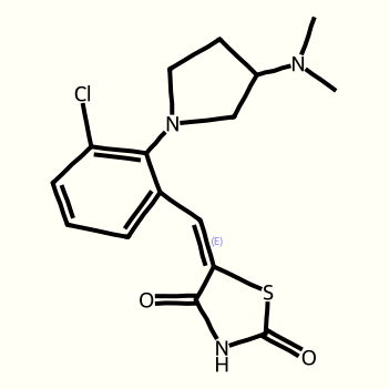 CN(C)C1CCN(c2c(Cl)cccc2/C=C2/SC(=O)NC2=O)C1